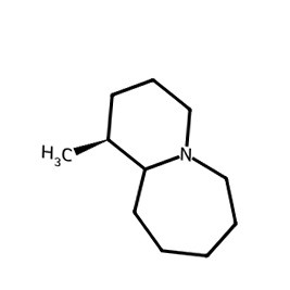 C[C@H]1CCCN2CCCCCC12